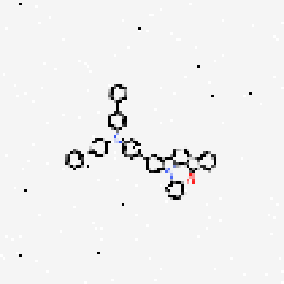 O=C1c2ccccc2-c2ccc3c4cc(-c5ccc(N(c6ccc(-c7ccccc7)cc6)c6ccc(-c7ccccc7)cc6)cc5)ccc4n(-c4ccccc4)c3c21